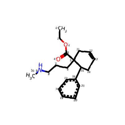 CCOC(=O)C1(CCCNC)CC=CCC1c1ccccc1